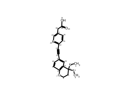 CSC1(SC)CCOc2ccc(C#Cc3ccc(CC(=O)O)cn3)cc21